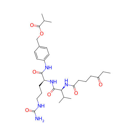 CCC(=O)CCCC(=O)N[C@H](C(=O)N[C@@H](CCCNC(N)=O)C(=O)Nc1ccc(COC(=O)C(C)C)cc1)C(C)C